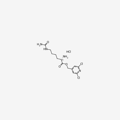 Cl.NC(=O)NCCCC[C@H](N)C(=O)OCc1cc(Cl)nc(Cl)c1